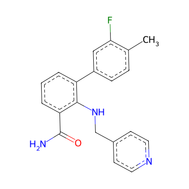 Cc1ccc(-c2cccc(C(N)=O)c2NCc2ccncc2)cc1F